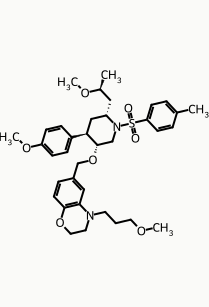 COCCCN1CCOc2ccc(CO[C@H]3CN(S(=O)(=O)c4ccc(C)cc4)[C@@H](C[C@H](C)OC)C[C@@H]3c3ccc(OC)cc3)cc21